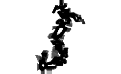 Cc1cc(C(F)(F)F)nn1CC(=O)N1CCC(c2nc(C(=O)C3=NOC(c4c(F)cccc4F)C3)cs2)CC1